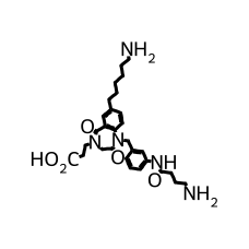 NCCCCCCc1ccc2c(c1)C(=O)N(CCC(=O)O)CC(=O)N2Cc1cccc(NC(=O)CCCN)c1